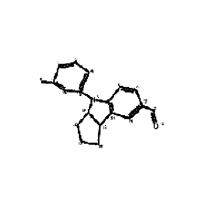 Cc1cccc(N2c3ccc(C=O)cc3C3CCCC32)c1